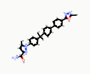 Cc1nnc(-c2ccc(-c3ccc(C(C)(C)c4ccc(-n5nc(C(N)=O)cc5C)cc4)cc3)cc2)o1